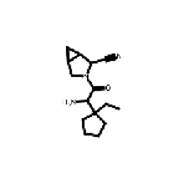 CCC1(C(N)C(=O)N2CC3CC3C2C#N)CCCC1